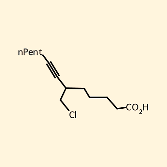 CCCCCC#CC(CCl)CCCCC(=O)O